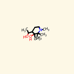 CC(O)C1CCN(C)C(C)(C)C1(C)O